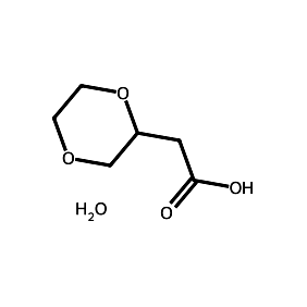 O.O=C(O)CC1COCCO1